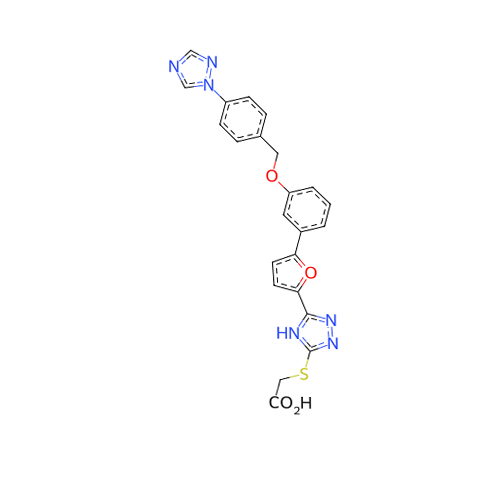 O=C(O)CSc1nnc(-c2ccc(-c3cccc(OCc4ccc(-n5cncn5)cc4)c3)o2)[nH]1